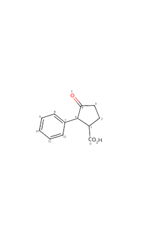 O=C(O)C1CCC(=O)C1c1ccccc1